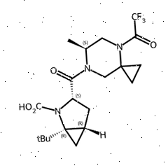 C[C@H]1CN(C(=O)C(F)(F)F)C2(CC2)CN1C(=O)[C@@H]1C[C@@H]2C[C@@]2(C(C)(C)C)N1C(=O)O